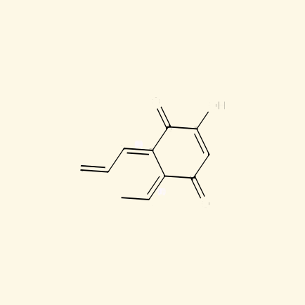 C=C/C=C1/C(=O)C(O)=CC(=O)/C1=C/C